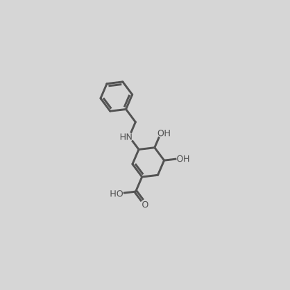 O=C(O)C1=CC(NCc2ccccc2)C(O)C(O)C1